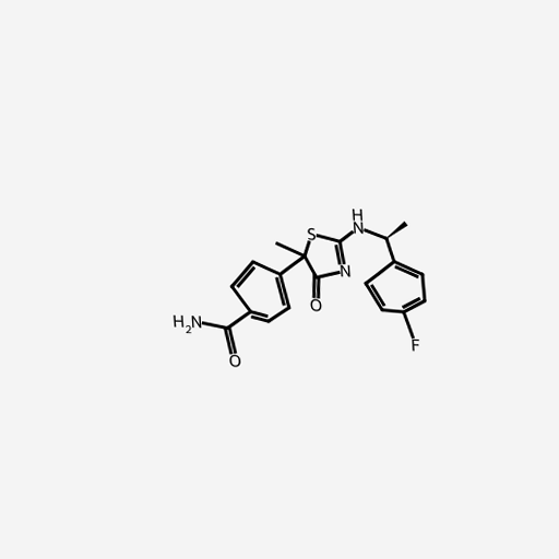 C[C@H](NC1=NC(=O)C(C)(c2ccc(C(N)=O)cc2)S1)c1ccc(F)cc1